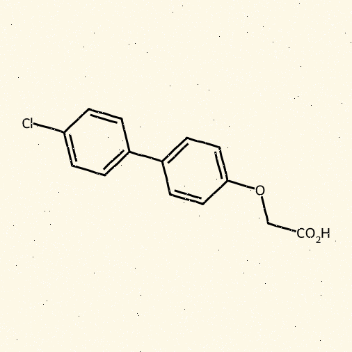 O=C(O)COc1ccc(-c2ccc(Cl)cc2)cc1